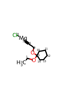 CCOC1(OCC#[C][Mg][Cl])CCCCC1